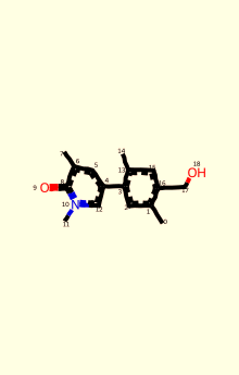 Cc1cc(-c2cc(C)c(=O)n(C)c2)c(C)cc1CO